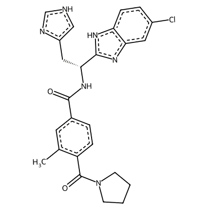 Cc1cc(C(=O)N[C@H](Cc2c[nH]cn2)c2nc3cc(Cl)ccc3[nH]2)ccc1C(=O)N1CCCC1